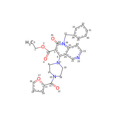 CCOC(=O)c1c(N2CCN(C(=O)c3ccco3)CC2)c2cnccc2n(Cc2ccccc2)c1=O